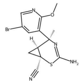 COc1ncc(Br)cc1[C@@]1(C)N=C(N)S[C@@]2(C#N)C[C@H]21